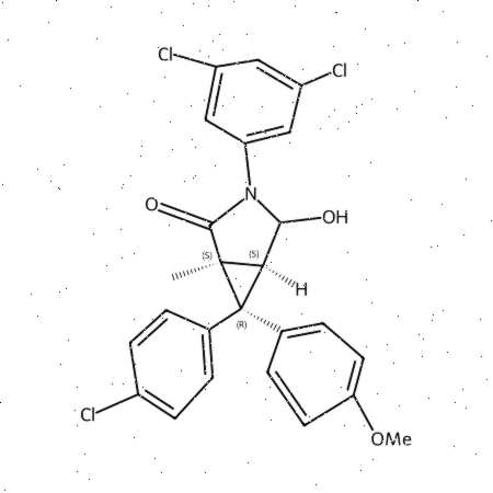 COc1ccc([C@@]2(c3ccc(Cl)cc3)[C@@H]3C(O)N(c4cc(Cl)cc(Cl)c4)C(=O)[C@@]32C)cc1